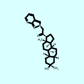 C[C@@]1(O)CC[C@H]2[C@H](CC[C@@H]3[C@@H]2CC[C@]2(C)[C@@H](C(=O)Cn4cc5cccnc5n4)CC[C@@H]32)C1